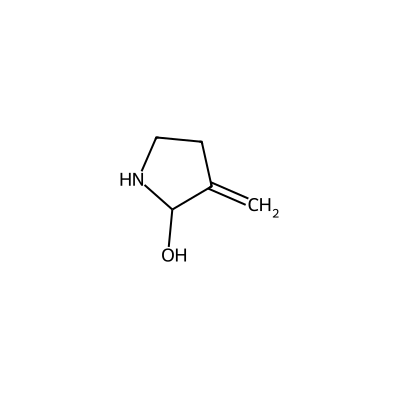 C=C1CCNC1O